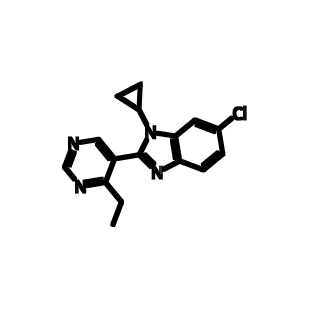 CCc1ncncc1-c1nc2ccc(Cl)cc2n1C1CC1